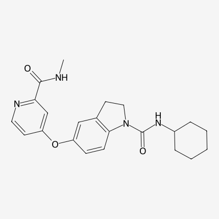 CNC(=O)c1cc(Oc2ccc3c(c2)CCN3C(=O)NC2CCCCC2)ccn1